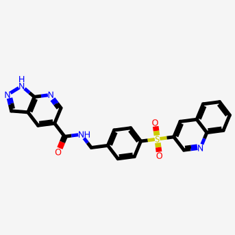 O=C(NCc1ccc(S(=O)(=O)c2cnc3ccccc3c2)cc1)c1cnc2[nH]ncc2c1